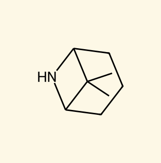 CC1(C)C2CCCC1N2